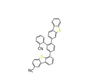 N#Cc1ccc2sc3c(-c4ccc(-c5ccc6c(c5)sc5ccccc56)c(-c5ccccc5C#N)c4)cccc3c2c1